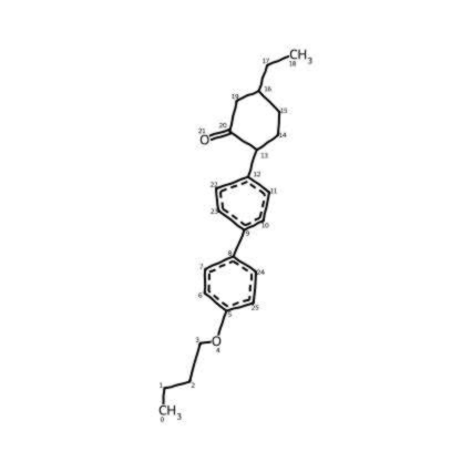 CCCCOc1ccc(-c2ccc(C3CCC(CC)CC3=O)cc2)cc1